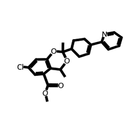 COC(=O)c1cc(Cl)cc2c1C(C)OC(C)(C1CC=C(c3ccccn3)CC1)O2